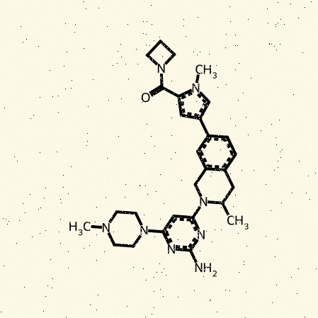 CC1Cc2ccc(-c3cc(C(=O)N4CCC4)n(C)c3)cc2CN1c1cc(N2CCN(C)CC2)nc(N)n1